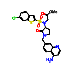 COC(=O)CN(C1CCN(Cc2ccc3c(N)ccnc3c2)C1=O)S(=O)(=O)c1cc2ccc(Cl)cc2s1